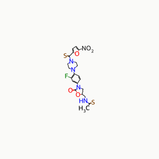 CC(=S)NCC1CN(c2ccc(N3CCN(C(=S)c4ccc([N+](=O)[O-])o4)CC3)c(F)c2)C(=O)O1